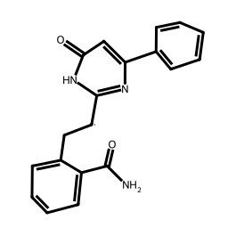 NC(=O)c1ccccc1C[CH]c1nc(-c2ccccc2)cc(=O)[nH]1